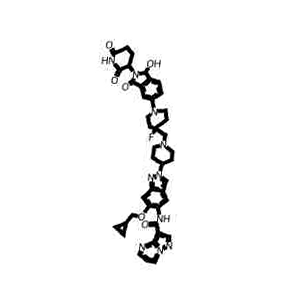 O=C1CCC(N2C(=O)c3cc(N4CCC(F)(CN5CCC(n6cc7cc(NC(=O)c8cnn9cccnc89)c(OCC8CC8)cc7n6)CC5)CC4)ccc3C2O)C(=O)N1